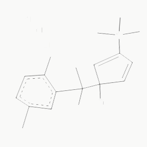 Cc1ccc(C)c(C(C)(C)[C]2([Ti+3])C=CC([Si](C)(C)C)=C2)c1.[Cl-].[Cl-].[Cl-]